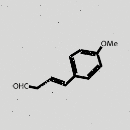 COc1ccc(C=CC[C]=O)cc1